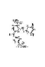 CNS(=O)(=O)c1ccc(Nc2cc(NCc3cc(F)cc(F)c3)c(C(N)=O)cn2)cc1